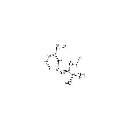 CCO/C(=C\c1cccc(OC)c1)C(=O)O